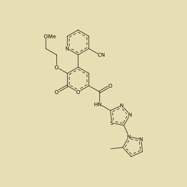 COCCOc1c(-c2ncccc2C#N)cc(C(=O)Nc2nnc(-n3nccc3C)s2)oc1=O